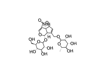 C[C@@H]1O[C@@H](OCC2=C[C@@H]3OC(=O)C4=CO[C@@H](O[C@@H]5O[C@H](CO)[C@@H](O)[C@H](O)[C@H]5O)[C@H]2[C@@H]43)[C@H](O)[C@H](O)[C@H]1O